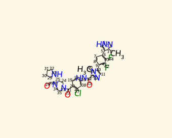 Cc1n[nH]cc1-c1ccc(-c2cnc(C(=O)Nc3ccc(C(=O)N4CCN(C(=O)[C@@H]5CCCN5)CC4)c(Cl)c3)n2C)c(F)c1F